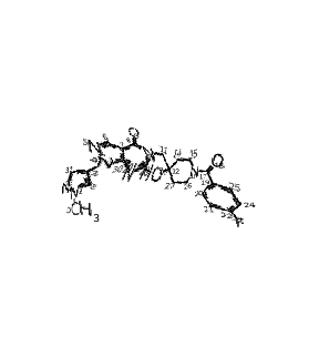 Cn1cc(-n2ncc3c(=O)n(CC4(O)CCN(C(=O)c5ccc(F)cc5)CC4)cnc32)cn1